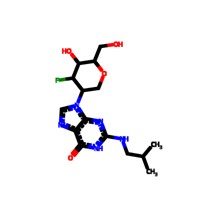 CC(C)CNc1nc2c(ncn2C2COC(CO)C(O)C2F)c(=O)[nH]1